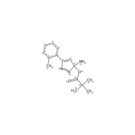 Cc1ccccc1C1=CC(N)(OC(=O)C(C)(C)C)N=N1